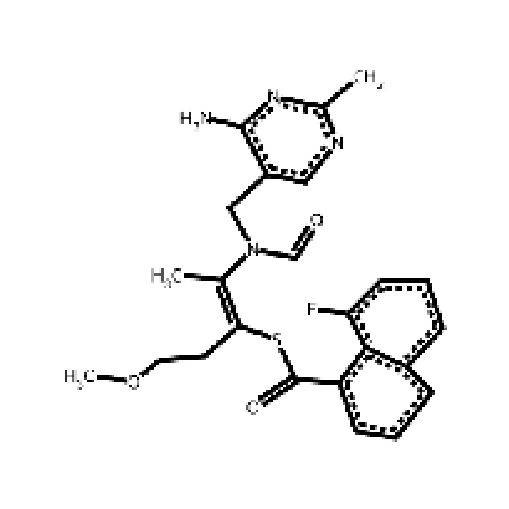 COCC/C(SC(=O)c1cccc2cccc(F)c12)=C(\C)N(C=O)Cc1cnc(C)nc1N